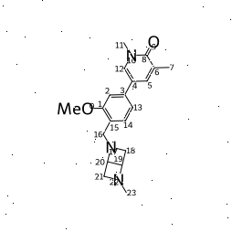 COc1cc(-c2cc(C)c(=O)n(C)c2)ccc1CN1CC2C1CN2C